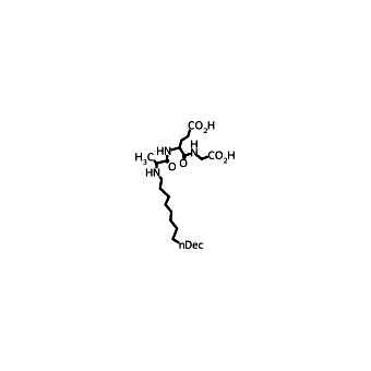 CCCCCCCCCCCCCCCCCCNC(C)C(=O)NC(CCC(=O)O)C(=O)NCC(=O)O